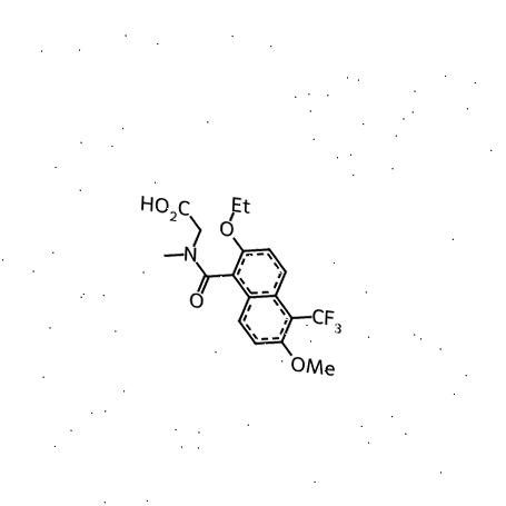 CCOc1ccc2c(C(F)(F)F)c(OC)ccc2c1C(=O)N(C)CC(=O)O